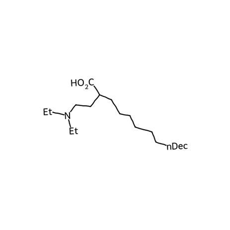 CCCCCCCCCCCCCCCCC(CCN(CC)CC)C(=O)O